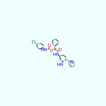 N=C1C=C(NC(=O)[C@H](OC(=O)Nc2ccc(Cl)cc2)c2ccccc2)C=CC1N1CC2CCC1CC2